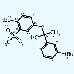 CC(C)(C)c1cccc(C(C)(C)Cc2ccc(C(C)(C)C)c(S(C)(=O)=O)c2)c1